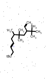 BC(C)(C)C(C=C)CC(C)(C)C(C)C/C=C/CC(C)(C)C